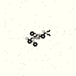 CCCN(CCC)C(=O)c1cccc(C(=O)N[C@@H](Cc2ccccc2)[C@H](O)CNCc2c(Cl)cccc2Oc2ccccc2)c1